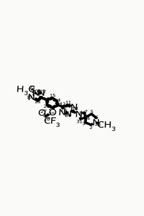 CN1CCC2(CC1)CN(c1ncc(-c3ccc(-c4cnn(C)n4)cc3OC(=O)C(F)(F)F)nn1)C2